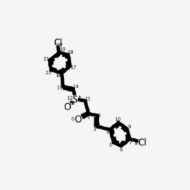 O=C(/C=C/c1ccc(Cl)cc1)C[S+]([O-])C=Cc1ccc(Cl)cc1